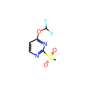 CS(=O)(=O)c1nccc(OC(F)F)n1